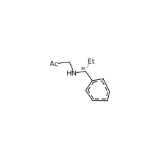 CC[C@@H](NCC(C)=O)c1ccccc1